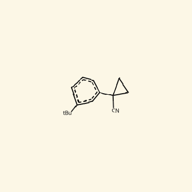 CC(C)(C)c1cccc(C2(C#N)CC2)c1